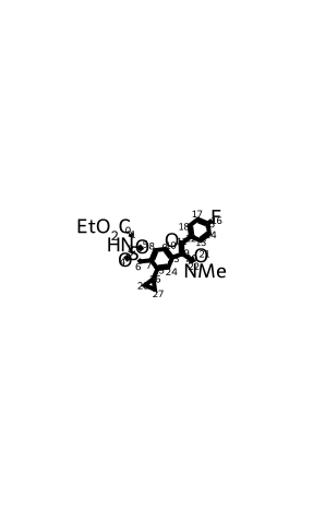 CCOC(=O)CNS(=O)(=O)Cc1cc2oc(-c3ccc(F)cc3)c(C(=O)NC)c2cc1C1CC1